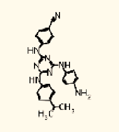 CC(C)c1ccc(Nc2nc(Nc3ccc(N)cc3)nc(Nc3ccc(C#N)cc3)n2)cc1